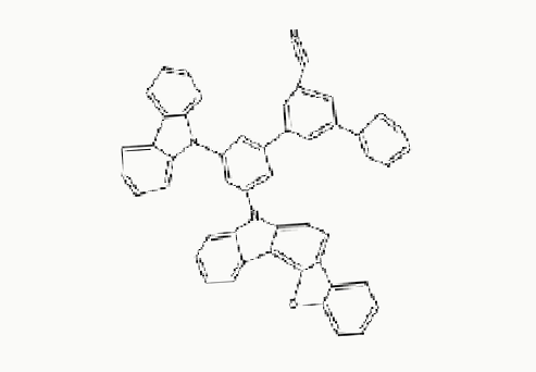 N#Cc1cc(-c2ccccc2)cc(-c2cc(-n3c4ccccc4c4ccccc43)cc(-n3c4ccccc4c4c5oc6ccccc6c5ccc43)c2)c1